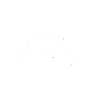 C[n+]1c2ccccc2c(I)c2[nH]c3ccc(F)cc3c21.I